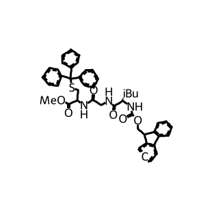 CC[C@H](C)C(NC(=O)OCC1c2ccccc2-c2ccccc21)C(=O)NCC(=O)NC(CSC(c1ccccc1)(c1ccccc1)c1ccccc1)C(=O)OC